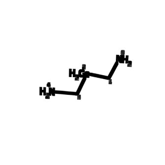 N[CH2][GeH2][CH2]N